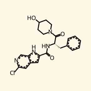 O=C(N[C@@H](Cc1ccccc1)C(=O)N1CCC(O)CC1)c1cc2cc(Cl)ncc2[nH]1